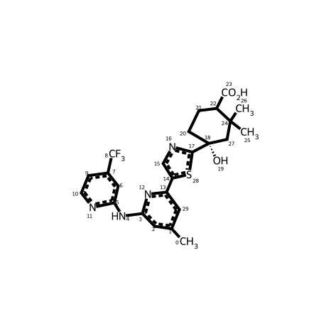 Cc1cc(Nc2cc(C(F)(F)F)ccn2)nc(-c2cnc([C@@]3(O)CCC(C(=O)O)C(C)(C)C3)s2)c1